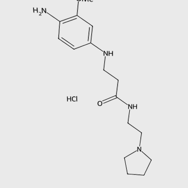 COc1cc(NCCC(=O)NCCN2CCCC2)ccc1N.Cl